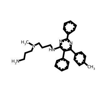 Cc1ccc(-c2nc(-c3ccccc3)nc(NCCCN(C)CCCN)c2-c2ccccc2)cc1